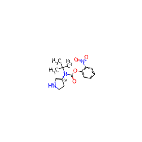 CC(C)(C)N(C(=O)Oc1ccccc1[N+](=O)[O-])[C@H]1CCNC1